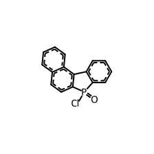 O=P1(Cl)c2ccccc2-c2c1ccc1ccccc21